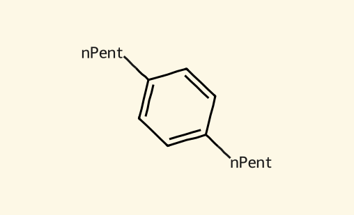 CCCCCc1ccc(CCCCC)cc1